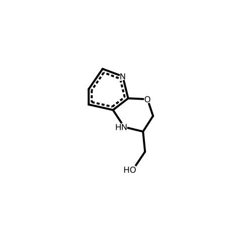 OCC1COc2ncccc2N1